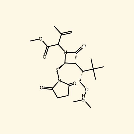 C=C(C)C(C(=O)OC)N1C(=O)[C@H]([C@@H](CO[SiH](C)C)C(C)(C)C)[C@H]1SN1C(=O)CCC1=O